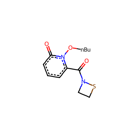 CCCCOn1c(C(=O)N2CCS2)cccc1=O